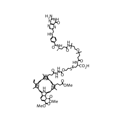 C=CC1=C(C)c2cc3[nH]c(cc4nc(cc5[nH]c(cc1n2)c(C)c5CCC(=O)NNC(=O)OCCSSC[C@@H](NC(=O)CCC(C)(C)OCCC(C)(C)NC(=O)CC[C@@H](C)NC(=O)c1ccc(NCc2cnc5nc(N)[nH]c(=O)c5n2)cc1)C(=O)O)C(CCC(=O)OC)=C4C)[C@]1(C)C3=CC=C(C(=O)OC)[C@@H]1C(=O)OC